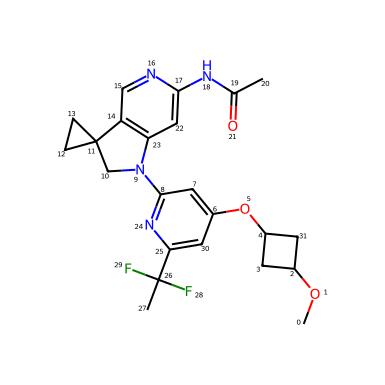 COC1CC(Oc2cc(N3CC4(CC4)c4cnc(NC(C)=O)cc43)nc(C(C)(F)F)c2)C1